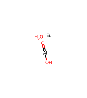 O.[Eu].[O]=[Al][OH]